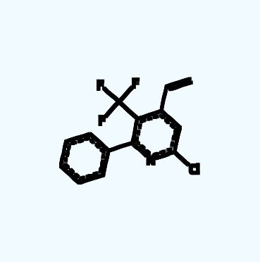 C=Cc1cc(Cl)nc(-c2ccccc2)c1C(F)(F)F